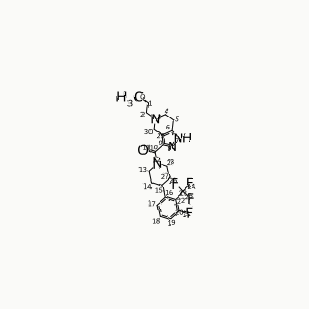 CCCN1CCc2[nH]nc(C(=O)N3CCC(c4cccc(F)c4C(F)(F)F)CC3)c2C1